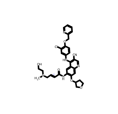 CN(C/C=C/C(=O)Nc1cc2c(Nc3ccc(OCc4ccccn4)c(Cl)c3)c(C#N)cnc2cc1OC1CCOC1)CCO